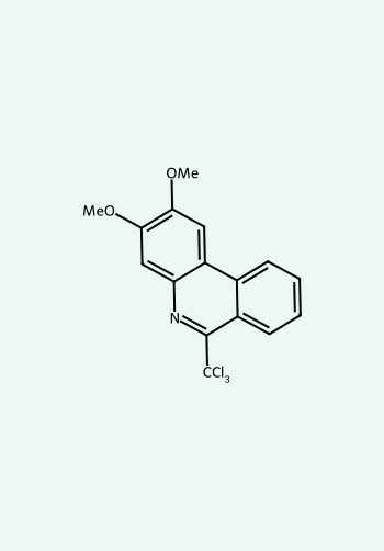 COc1cc2nc(C(Cl)(Cl)Cl)c3ccccc3c2cc1OC